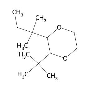 CCC(C)(C)C1OCCOC1C(C)(C)C